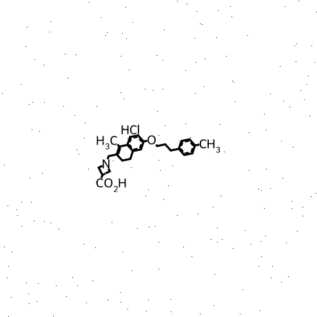 CC1=C(CN2CC(C(=O)O)C2)CCc2cc(OCCCc3ccc(C)cc3)ccc21.Cl